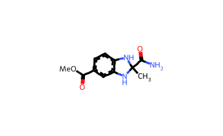 COC(=O)c1ccc2c(c1)NC(C)(C(N)=O)N2